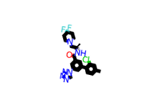 Cc1ccc(-c2cc(C(=O)N[C@H](C)CN3CCC(F)(F)CC3)cc(-n3cnnn3)c2)c(Cl)c1